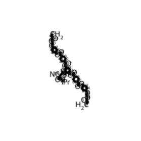 C=CC(=O)OCOc1ccc(OC(=O)C2CCC(C(=O)Oc3ccc(OC(=O)C4CCC(C(=O)Oc5ccc(OCOC(=O)C=C)cc5)CC4)c4c3SC(C(C#N)C(=O)OC(C)C)S4)CC2)cc1